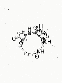 CN1CCNC(=O)CCCCCOc2cc(ccc2Cl)N/C=C2/C(=O)Nc3ncnc1c32